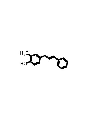 Cc1cc(CC=Cc2ccccc2)ccc1O